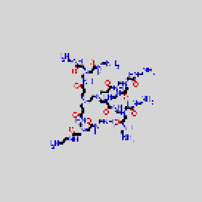 NCCNC(=O)CN(CNC(=O)CCN(CCC(=O)NCN(CC(=O)NCN)CC(=O)NCN)CCN(CCC(=O)NCN(CC(=O)NCN)CC(=O)NCN)CCC(=O)NCN(CC(=O)NCN)CC(=O)NCN)CC(=O)NCN